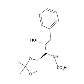 CC1(C)OC[C@H](C(NC(=O)O)[C@H](O)Cc2ccccc2)O1